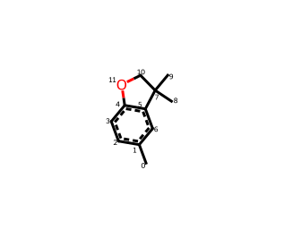 Cc1ccc2c(c1)C(C)(C)CO2